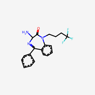 NC1N=C(c2ccccc2)c2ccccc2N(CCCC(F)(F)F)C1=O